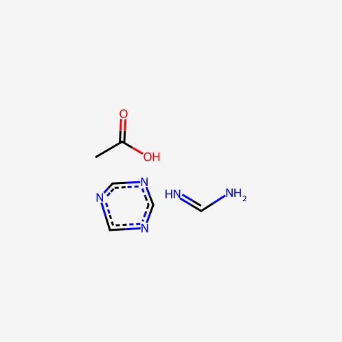 CC(=O)O.N=CN.c1ncncn1